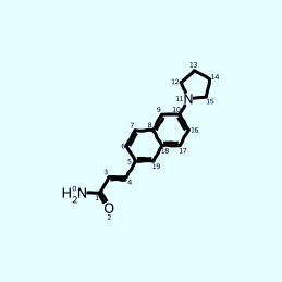 NC(=O)C=Cc1ccc2cc(N3CCCC3)ccc2c1